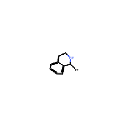 CCC1NCCc2ccccc21